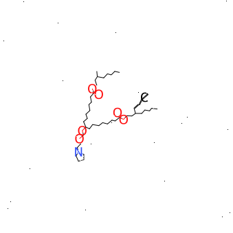 C=C=C=C=CC(CCCCC)CCOC(=O)CCCCCCCC(CCCCCCCC(=O)OCCC(C)CCCCC)OCOCCN1CCCC1